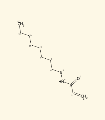 C=CC(=O)NSCCCCCCCC